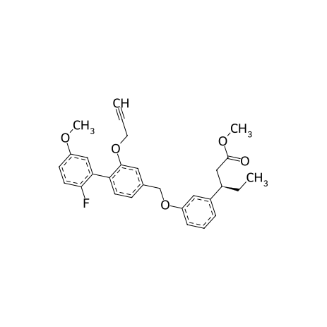 C#CCOc1cc(COc2cccc([C@H](CC)CC(=O)OC)c2)ccc1-c1cc(OC)ccc1F